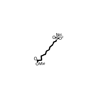 COC(=O)CCCCCCCCCS(N)(=O)=O